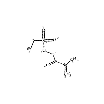 C=C(C)C(=O)OOS(=O)(=O)CC(C)C